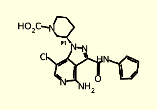 Nc1ncc(Cl)c2c1c(C(=O)Nc1ccccc1)nn2[C@@H]1CCCN(C(=O)O)C1